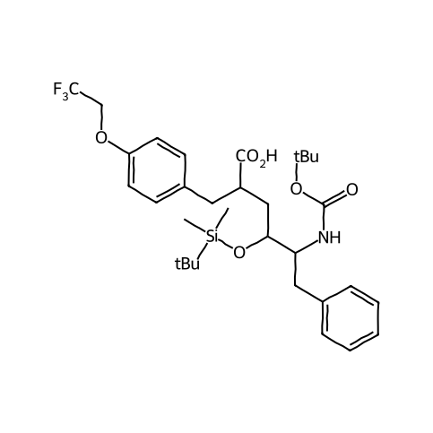 CC(C)(C)OC(=O)NC(Cc1ccccc1)C(CC(Cc1ccc(OCC(F)(F)F)cc1)C(=O)O)O[Si](C)(C)C(C)(C)C